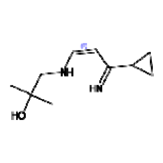 CC(C)(O)CN/C=C\C(=N)C1CC1